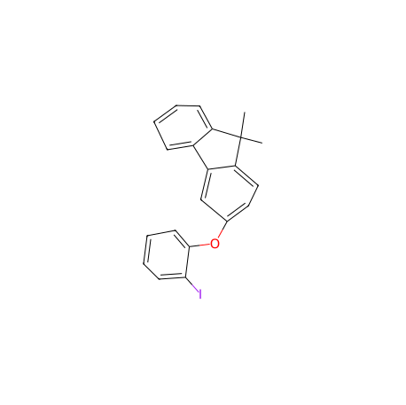 CC1(C)c2ccccc2-c2cc(Oc3ccccc3I)ccc21